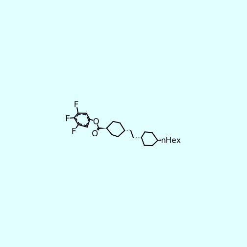 CCCCCC[C@H]1CC[C@H](CC[C@H]2CC[C@H](C(=O)Oc3cc(F)c(F)c(F)c3)CC2)CC1